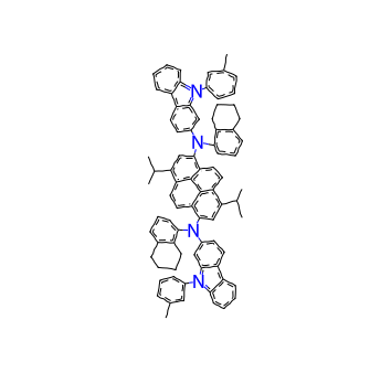 Cc1cccc(-n2c3ccccc3c3ccc(N(c4cccc5c4CCCC5)c4cc(C(C)C)c5ccc6c(N(c7ccc8c9ccccc9n(-c9cccc(C)c9)c8c7)c7cccc8c7CCCC8)cc(C(C)C)c7ccc4c5c76)cc32)c1